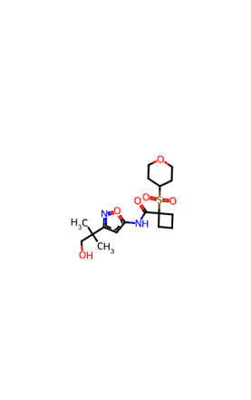 CC(C)(CO)c1cc(NC(=O)C2(S(=O)(=O)C3CCOCC3)CCC2)on1